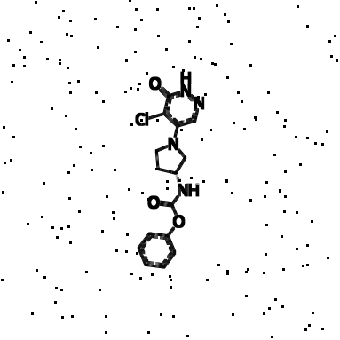 O=C(N[C@@H]1CCN(c2cn[nH]c(=O)c2Cl)C1)Oc1ccccc1